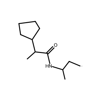 [CH2]CC(C)NC(=O)C(C)C1CCCC1